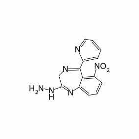 NNC1=Nc2cccc([N+](=O)[O-])c2C(c2ccccn2)=NC1